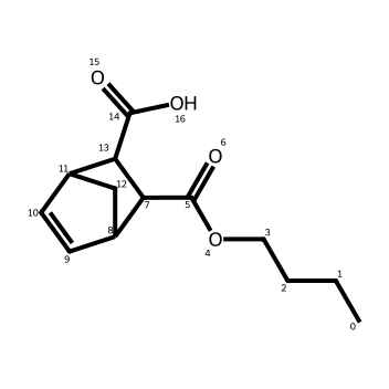 CCCCOC(=O)C1C2C=CC(C2)C1C(=O)O